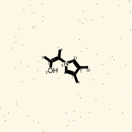 C/C(O)=C(\C)n1cc(C)c(C)c1